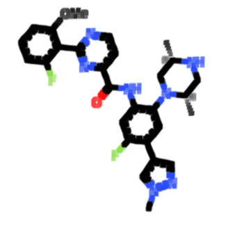 COc1cccc(F)c1-c1nccc(C(=O)Nc2cc(F)c(-c3cnn(C)c3)cc2N2C[C@H](C)NC[C@@H]2C)n1